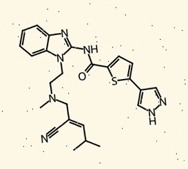 CC(C)C=C(C#N)CN(C)CCn1c(NC(=O)c2ccc(-c3cn[nH]c3)s2)nc2ccccc21